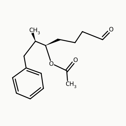 CC(=O)O[C@H](CCCC=O)[C@H](C)Cc1ccccc1